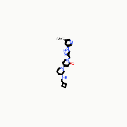 COc1cncc(-n2cc(Cn3ccc(N4CCC[C@@H](NCC5CCC5)C4)cc3=O)nn2)c1